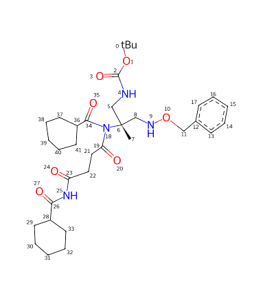 CC(C)(C)OC(=O)NC[C@](C)(CNOCc1ccccc1)N(C(=O)CCC(=O)NC(=O)C1CCCCC1)C(=O)C1CCCCC1